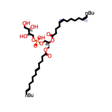 CCCCC=CCCCCC=CCCCC(=O)OC[C@H](COP(=O)(O)OC[C@@H](O)[C@H](O)CO)OC(=O)CCC/C=C\CCCC/C=C\CCCC